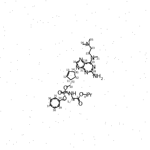 CC(C)OC(=O)[C@H](C)N[P@@](=O)(OC[C@@H]1C=C[C@H](n2cnc3c(N(C)CCN(C)C)nc(N)nc32)C1)Oc1ccccc1